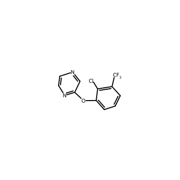 FC(F)(F)c1cccc(Oc2cnccn2)c1Cl